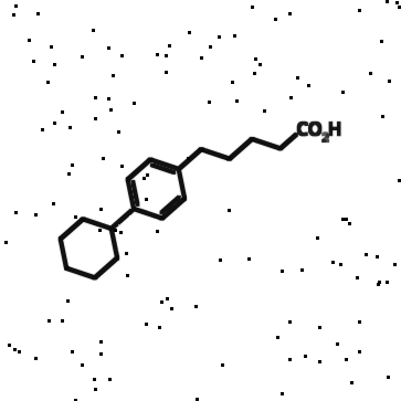 O=C(O)CCCCc1ccc(C2CCCCC2)cc1